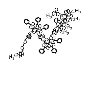 CC(=O)OC[C@H]1O[C@@H](O[C@]2(CCl)O[C@H](Cn3cc(CO[C@@H]4O[C@H](Cc5cn(CO[C@H]6O[C@@H](Cn7cc(COCCOCc8cn(C)nn8)nn7)[C@@H](OC(=O)c7ccccc7)[C@@H](OC(=O)c7ccccc7)[C@H]6OC(=O)c6ccccc6)nn5)[C@H](OC(=O)c5ccccc5)[C@H](OC(=O)c5ccccc5)[C@@H]4OC(=O)c4ccccc4)nn3)[C@@H](OC(C)=O)[C@@H]2OC(C)=O)[C@H](OC(C)=O)[C@@H](OC(C)=O)[C@H]1Cl